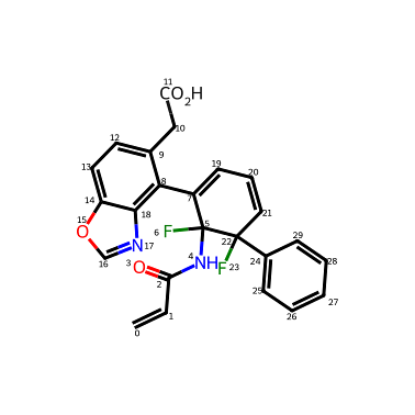 C=CC(=O)NC1(F)C(c2c(CC(=O)O)ccc3ocnc23)=CC=CC1(F)c1ccccc1